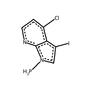 Pn1cc(I)c2c(Cl)ccnc21